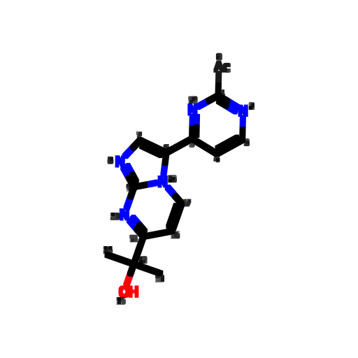 CC(=O)c1nccc(-c2cnc3nc(C(C)(C)O)ccn23)n1